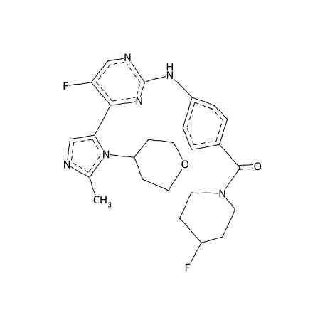 Cc1ncc(-c2nc(Nc3ccc(C(=O)N4CCC(F)CC4)cc3)ncc2F)n1C1CCOCC1